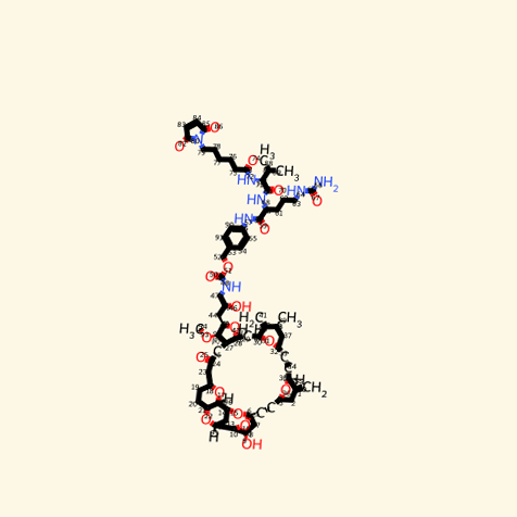 C=C1CC2CC[C@]34C[C@@H](O)C(O3)[C@H]3CC(O4)[C@H]4OC(CCC4O3)CC(=O)CC3[C@H](C[C@H]4OC(CC[C@@H]1O2)C[C@@H](C)C4=C)O[C@H](CC(O)CNC(=O)OCc1ccc(NC(=O)C(CCCNC(N)=O)NC(=O)[C@@H](NC(=O)CCCCCN2C(=O)C=CC2=O)C(C)C)cc1)[C@@H]3OC